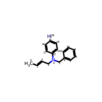 CC=CCN(Cc1ccccc1)c1ccccc1.I